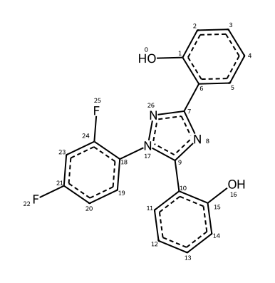 Oc1ccccc1-c1nc(-c2ccccc2O)n(-c2ccc(F)cc2F)n1